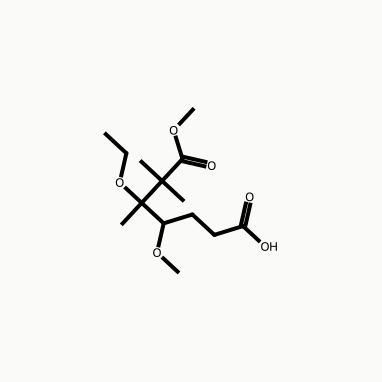 CCOC(C)(C(CCC(=O)O)OC)C(C)(C)C(=O)OC